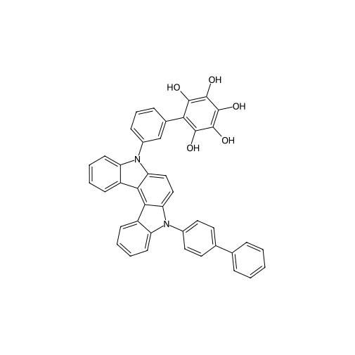 Oc1c(O)c(O)c(-c2cccc(-n3c4ccccc4c4c5c6ccccc6n(-c6ccc(-c7ccccc7)cc6)c5ccc43)c2)c(O)c1O